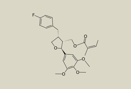 C/C=C(/C)C(=O)OC[C@H]1[C@@H](Cc2ccc(F)cc2)CO[C@@H]1c1cc(OC)c(OC)c(OC)c1